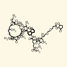 COc1cc2cc(c1Cl)N(C)C(=O)C[C@H](OC(=O)[C@H](C)N(C)C(=O)c1ccc(NC(=O)[C@H](CCCNC(N)=O)NC(=O)[C@@H](NC(=S)NCCOCCOCCC(=O)ON3C(=O)CCC3=O)C(C)C)c3cccnc13)[C@]1(C)O[C@H]1[C@H](C)[C@@H]1C[C@@](O)(NC(=O)O1)[C@H](OC)/C=C/C=C(\C)C2